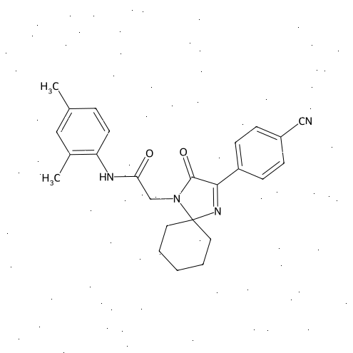 Cc1ccc(NC(=O)CN2C(=O)C(c3ccc(C#N)cc3)=NC23CCCCC3)c(C)c1